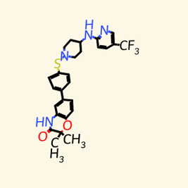 CC1(C)Oc2ccc(-c3ccc(SN4CCC(Nc5ccc(C(F)(F)F)cn5)CC4)cc3)cc2NC1=O